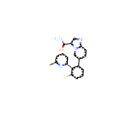 Cc1cccc(-c2c(F)cccc2-c2ccc3ncc(C(N)=O)n3c2)n1